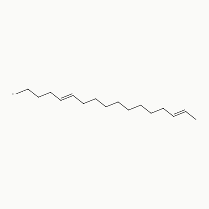 [CH2]CCCC=CCCCCCCCCC=CC